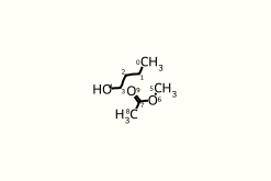 CCCCO.COC(C)=O